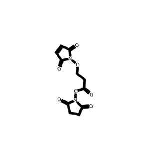 O=C(CCON1C(=O)C=CC1=O)ON1C(=O)CCC1=O